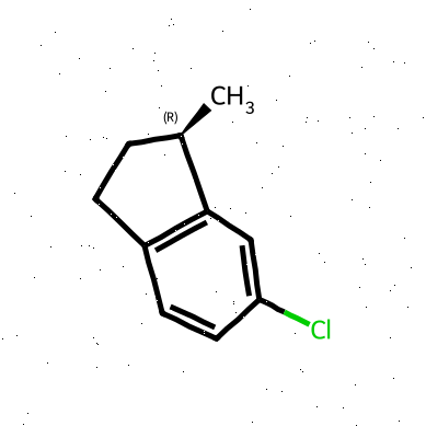 C[C@@H]1CCc2ccc(Cl)cc21